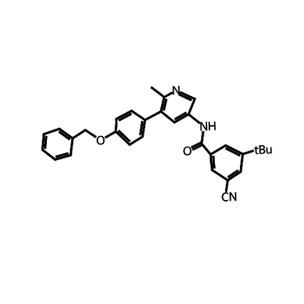 Cc1ncc(NC(=O)c2cc(C#N)cc(C(C)(C)C)c2)cc1-c1ccc(OCc2ccccc2)cc1